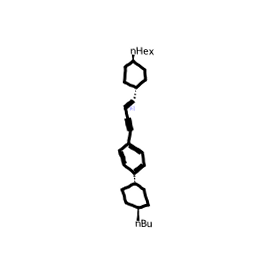 CCCCCC[C@H]1CC[C@H](/C=C/C#Cc2ccc([C@H]3CC[C@H](CCCC)CC3)cc2)CC1